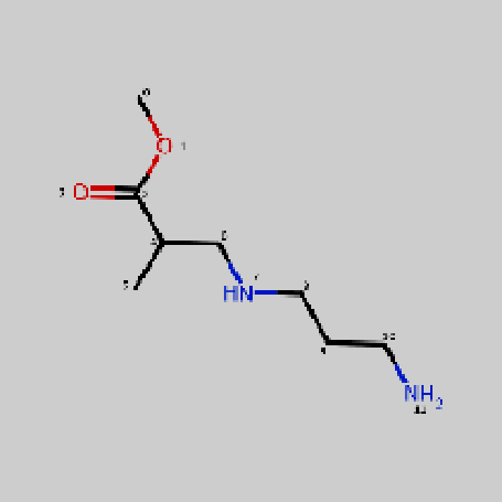 COC(=O)C(C)CNCCCN